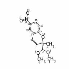 COC(OC)C1(C)C=Cc2cc([N+](=O)[O-])ccc2O1